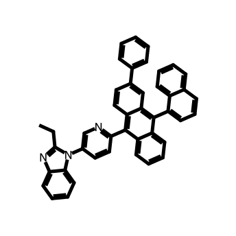 CCc1nc2ccccc2n1-c1ccc(-c2c3ccccc3c(-c3cccc4ccccc34)c3cc(-c4ccccc4)ccc23)nc1